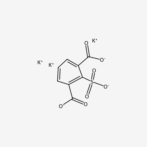 O=C([O-])c1cccc(C(=O)[O-])c1S(=O)(=O)[O-].[K+].[K+].[K+]